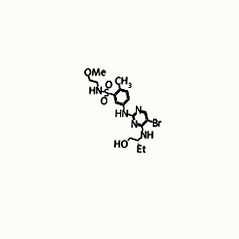 CC[C@H](CO)Nc1nc(Nc2ccc(C)c(S(=O)(=O)NCCOC)c2)ncc1Br